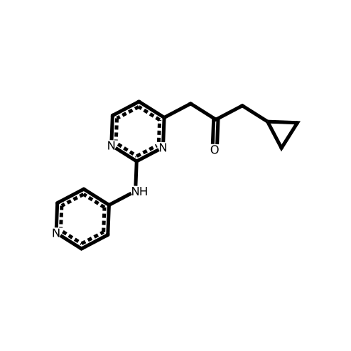 O=C(Cc1ccnc(Nc2ccncc2)n1)CC1CC1